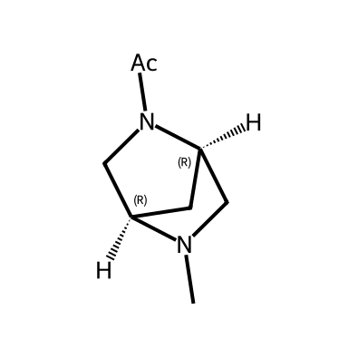 CC(=O)N1C[C@H]2C[C@@H]1CN2C